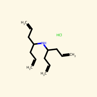 C=CCC(CC=C)NC(CC=C)CC=C.Cl